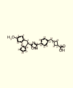 Cc1ccc(CC(c2nc(-c3ccc(CN4CC(C(=O)O)C4)cc3)no2)c2cccs2)cc1